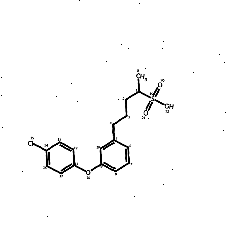 CC(CCCc1cccc(Oc2ccc(Cl)cc2)c1)S(=O)(=O)O